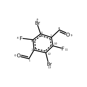 O=Cc1c(F)c(Br)c(C=O)c(F)c1Br